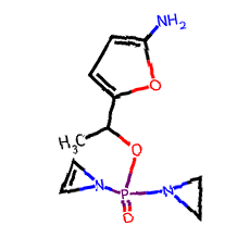 CC(OP(=O)(N1C=C1)N1CC1)c1ccc(N)o1